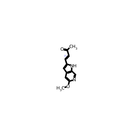 COc1cc2cc(/C=C/C(C)=O)[nH]c2cn1